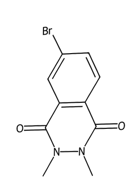 Cn1c(=O)c2ccc(Br)cc2c(=O)n1C